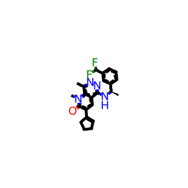 Cc1nnc(N[C@H](C)c2cccc(C(F)F)c2)c2cc(C3=CCCC3)c(=O)n(C)c12